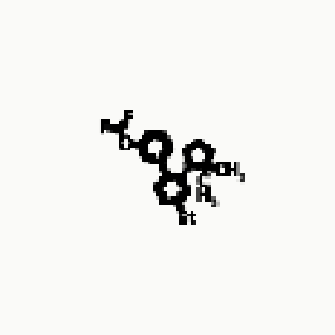 CCc1ccc(-c2cccc(OC(F)F)c2)c([C@H]2CCCC2(C)C)c1